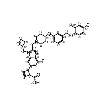 O=C(O)C1C#CC1c1cc(F)c2nc(CN3CCC(Oc4cccc(COc5ccc(Cl)cc5F)c4)CC3)n(C[C@@H]3CCO3)c2c1